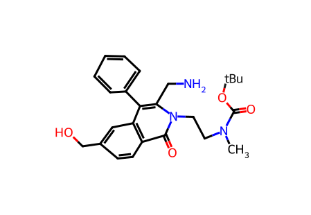 CN(CCn1c(CN)c(-c2ccccc2)c2cc(CO)ccc2c1=O)C(=O)OC(C)(C)C